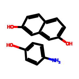 Nc1ccc(O)cc1.Oc1ccc2ccc(O)cc2c1